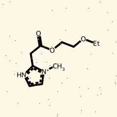 CCOCCOC(=O)Cc1[nH]cc[n+]1C